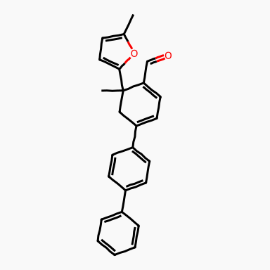 Cc1ccc(C2(C)CC(c3ccc(-c4ccccc4)cc3)=CC=C2C=O)o1